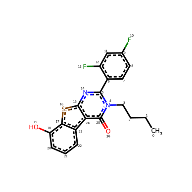 CCCCn1c(-c2ccc(F)cc2F)nc2sc3c(O)cccc3c2c1=O